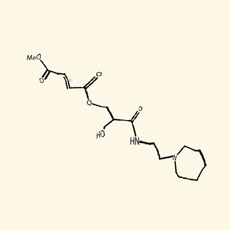 COC(=O)/C=C/C(=O)OCC(O)C(=O)NCCN1CCCCC1